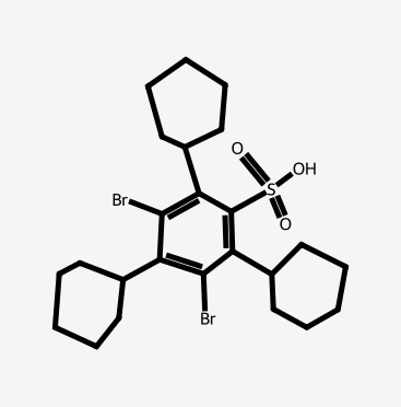 O=S(=O)(O)c1c(C2CCCCC2)c(Br)c(C2CCCCC2)c(Br)c1C1CCCCC1